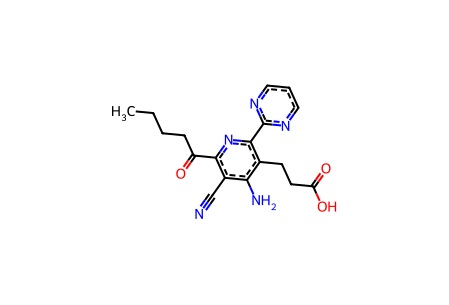 CCCCC(=O)c1nc(-c2ncccn2)c(CCC(=O)O)c(N)c1C#N